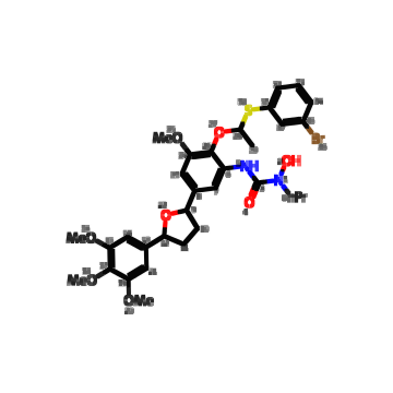 CCCN(O)C(=O)Nc1cc(C2CCC(c3cc(OC)c(OC)c(OC)c3)O2)cc(OC)c1OC(C)Sc1cccc(Br)c1